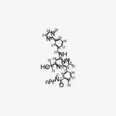 CCCN(C)C(=O)c1cc(-c2c(C)nn3c(NCc4cccc(-c5nccn5C)c4)cc(C(C)(C)O)nc23)ccc1C